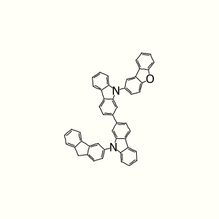 c1ccc2c(c1)Cc1ccc(-n3c4ccccc4c4ccc(-c5ccc6c7ccccc7n(-c7ccc8oc9ccccc9c8c7)c6c5)cc43)cc1-2